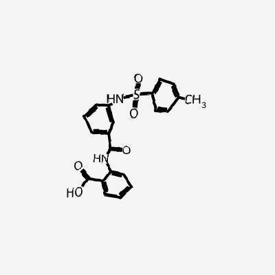 Cc1ccc(S(=O)(=O)Nc2cccc(C(=O)Nc3ccccc3C(=O)O)c2)cc1